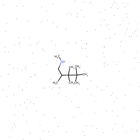 CNCC(C)C(C)(C)C(C)(C)C